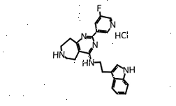 Cl.Fc1cncc(-c2nc3c(c(NCCc4c[nH]c5ccccc45)n2)CCNCC3)c1